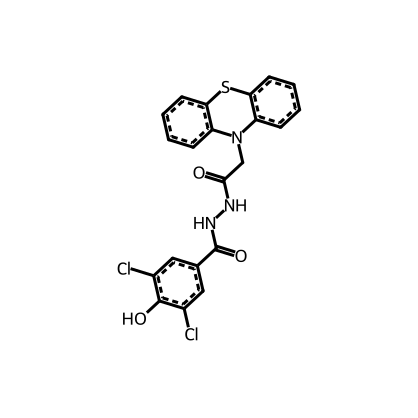 O=C(CN1c2ccccc2Sc2ccccc21)NNC(=O)c1cc(Cl)c(O)c(Cl)c1